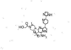 C[C@H]1C[C@H](c2nc3c(-c4ccc(-c5ncc[nH]5)nc4)cnn3c(N)c2S(C)(=O)=O)CCN1C(=O)CO